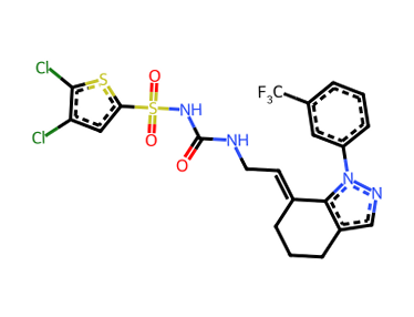 O=C(NC/C=C1\CCCc2cnn(-c3cccc(C(F)(F)F)c3)c21)NS(=O)(=O)c1cc(Cl)c(Cl)s1